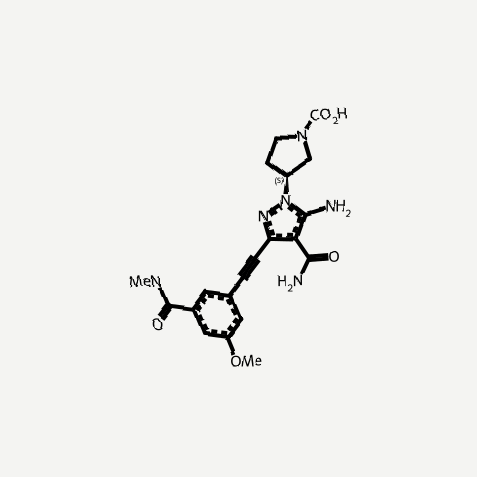 CNC(=O)c1cc(C#Cc2nn([C@H]3CCN(C(=O)O)C3)c(N)c2C(N)=O)cc(OC)c1